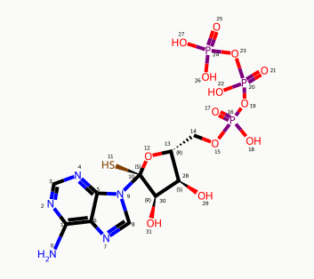 Nc1ncnc2c1ncn2[C@]1(S)O[C@H](COP(=O)(O)OP(=O)(O)OP(=O)(O)O)[C@@H](O)[C@H]1O